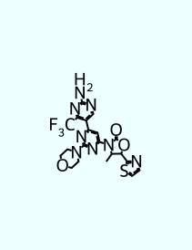 CC1C(c2nccs2)OC(=O)N1c1cc(-c2cnc(N)nc2C(F)(F)F)nc(N2CCOCC2)n1